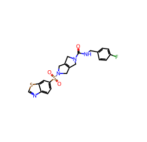 O=C(NCc1ccc(F)cc1)N1CC2=C(C1)CN(S(=O)(=O)c1ccc3ncsc3c1)C2